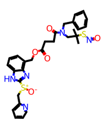 CC(C)(CN(Cc1ccccc1)C(=O)CCC(=O)OCc1cccc2[nH]c([S+]([O-])Cc3ccccn3)nc12)SN=O